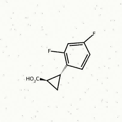 O=C(O)[C@@H]1C[C@H]1c1ccc(F)cc1F